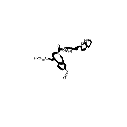 O=C=Nc1ccc2c(c1)CN(C(=O)NCCCc1ccc3c(n1)NCCC3)CCC2CC(=O)O